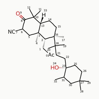 CC(=O)C[C@@H]1[C@@]2(C)CC(C#N)C(=O)C(C)(C)[C@@H]2CC[C@@]1(C)C(C)(C)CC[C@@]1(O)CCC(C)(C)CC1C